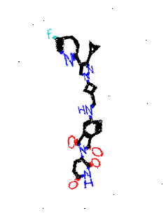 O=C1CCC(N2C(=O)c3ccc(NCC4CC(n5cc(-c6ccc(F)cn6)c(C6CC6)n5)C4)cc3C2=O)C(=O)N1